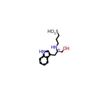 O=S(=O)(O)CCCN[C@@H](CO)Cc1c[nH]c2ccccc12